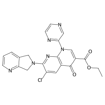 CCOC(=O)c1cn(-c2cnccn2)c2nc(N3Cc4cccnc4C3)c(Cl)cc2c1=O